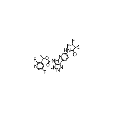 C[C@@H](OC(=O)Nc1c(-c2ccc(NC(=O)C3(C(F)F)CC3)cn2)nnn1C)c1cc(F)cnc1F